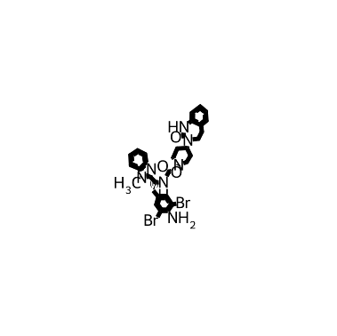 Cn1c([C@@H](Cc2cc(Br)c(N)c(Br)c2)NC(=O)ON2CCC(N3CCc4ccccc4NC3=O)CC2)nc2ccccc21